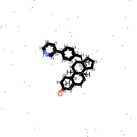 O=C1C=C2CC[C@@H]3[C@H](CC[C@]4(Cc5ccc(-c6cccnc6)cc5)CCC[C@@H]34)[C@H]2CC1